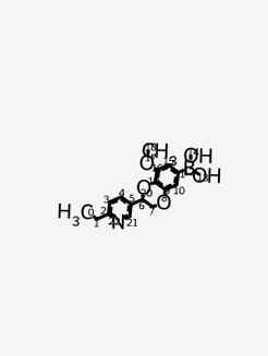 CCc1ccc(C2COc3cc(B(O)O)cc(OC)c3O2)cn1